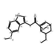 CCC1CC2C=CC1N(C(=O)Cc1c[nH]c3ccc(OC)cc13)C2